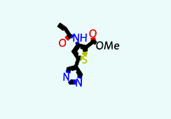 C=CC(=O)Nc1cc(-c2cncnc2)sc1C(=O)OC